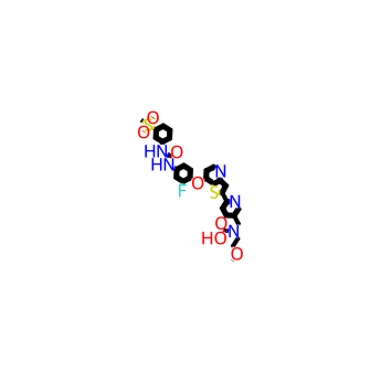 COCCN(Cc1ccc(-c2cc3nccc(Oc4ccc(NC(=O)Nc5cccc(S(C)(=O)=O)c5)cc4F)c3s2)nc1)C(=O)O